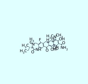 CCC(C)[C@H]1C(=O)Nc2cc3c(c(F)c2CN1C)C[C@H]1C[C@H]2[C@H](N(C)C)C(O)=C(C(N)=O)C(=O)[C@@]2(O)C(O)=C1C3=O